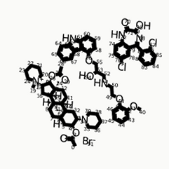 CC(=O)O[C@H]1C[C@@H]2CC[C@@H]3[C@H](CC[C@@]4(C)[C@H]3C[C@H]([N+]3(C)CCCCC3)[C@@H]4OC(C)=O)[C@@]2(C)C[C@@H]1N1CCCCC1.COc1ccccc1OCCNCC(O)COc1cccc2[nH]c3ccccc3c12.O=C1Nc2ccc(Cl)cc2C(c2ccccc2Cl)=NC1O.[Br-]